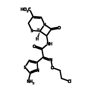 Nc1nc(C(=NOCCCl)C(=O)NC2C(=O)N3C=C(C(=O)O)CS[C@H]23)cs1